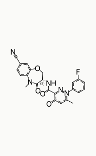 Cc1cc(=O)c(C(=O)N[C@H]2COc3cc(C#N)ccc3N(C)C2=O)nn1-c1cccc(F)c1